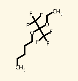 CCCCCOC(OCC)(C(F)(F)F)C(F)(F)F